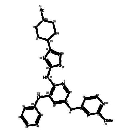 COc1cc(Sc2cnc(Nc3nc(C4CCN(C(C)=O)CC4)cs3)c(Oc3ccccc3)c2)ccn1